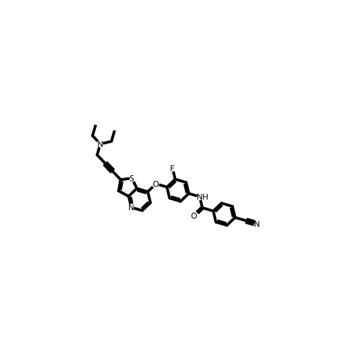 CCN(CC)CC#Cc1cc2nccc(Oc3ccc(NC(=O)c4ccc(C#N)cc4)cc3F)c2s1